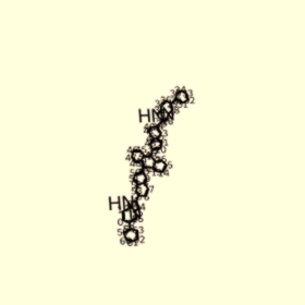 C1=CC2NC(c3ccc4cc(-c5c6ccccc6c(-c6ccc7cc(C8=CN9C=C(c%10ccccc%10)C=CC9N8)ccc7c6)c6ccccc56)ccc4c3)=CN2C=C1c1ccccc1